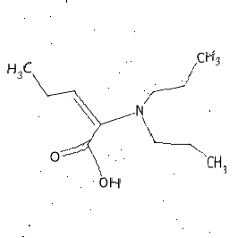 CC/C=C(\C(=O)O)N(CCC)CCC